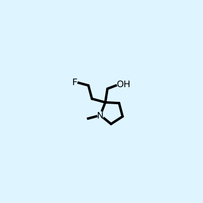 CN1CCCC1(CO)CCF